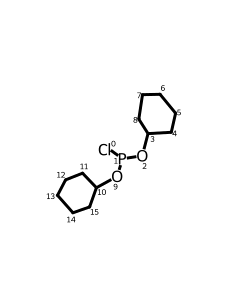 ClP(OC1CCCCC1)OC1CCCCC1